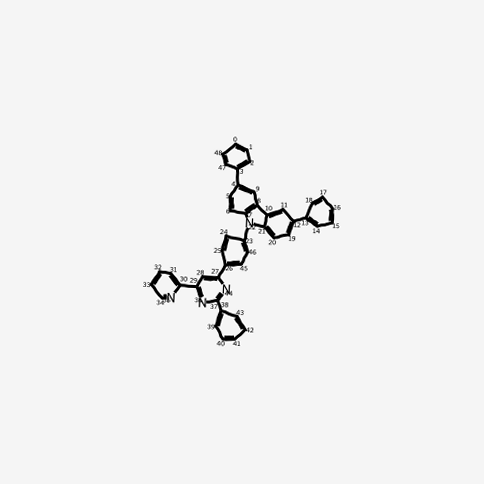 c1ccc(-c2ccc3c(c2)c2cc(-c4ccccc4)ccc2n3-c2ccc(-c3cc(-c4ccccn4)nc(-c4ccccc4)n3)cc2)cc1